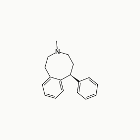 CN1CCc2ccccc2[C@H](c2ccccc2)CC1